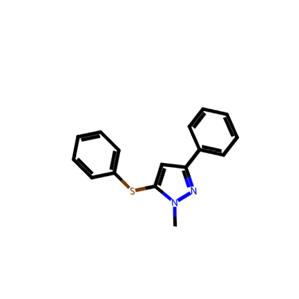 Cn1nc(-c2ccccc2)cc1Sc1ccccc1